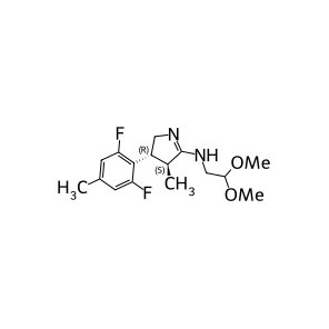 COC(CNC1=NC[C@@H](c2c(F)cc(C)cc2F)[C@@H]1C)OC